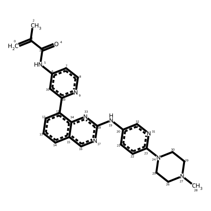 C=C(C)C(=O)Nc1ccnc(-c2cccc3cnc(Nc4ccc(N5CCN(C)CC5)nc4)nc23)c1